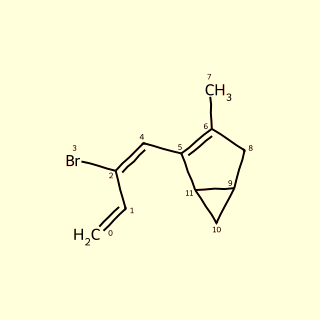 C=C/C(Br)=C\C1=C(C)CC2CC12